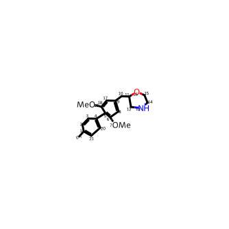 [CH2]c1ccc(-c2c(OC)cc(CC3CNCCO3)cc2OC)cc1